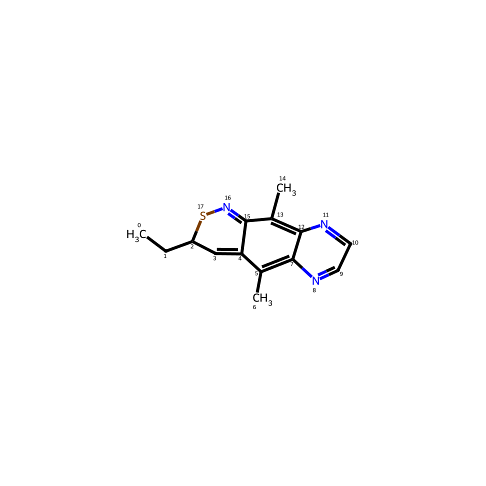 CCC1C=c2c(C)c3nccnc3c(C)c2=NS1